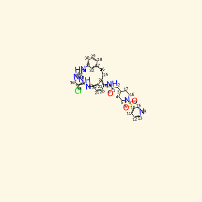 O=C(CC1CCN(S(=O)(=O)c2cccnc2)CC1)Nc1ccc2cc1CCc1cccc(c1)Nc1ncc(Cl)c(n1)N2